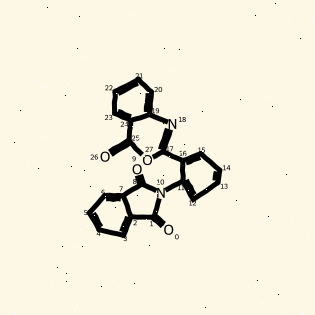 O=C1c2ccccc2C(=O)N1c1ccccc1-c1nc2ccccc2c(=O)o1